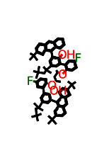 CC(CC(C)Oc1ccc(F)cc1-c1cc(C(C)(C)CC(C)(C)C)cc(-c2c3ccc(C(C)(C)C)cc3cc3ccc(C(C)(C)C)cc23)c1O)Oc1ccc(F)cc1-c1cc(C(C)(C)CC(C)(C)C)cc(-c2c3ccccc3cc3ccc(C(C)(C)C)cc23)c1O